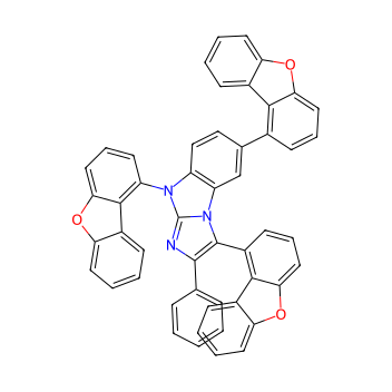 c1ccc(-c2nc3n(-c4cccc5oc6ccccc6c45)c4ccc(-c5cccc6oc7ccccc7c56)cc4n3c2-c2cccc3oc4ccccc4c23)cc1